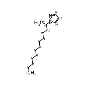 CCCCCCCCCCCC(C)n1cccn1